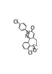 O=c1cc2c(nn1-c1ccc(Cl)cc1)-c1cccc(Cl)c1[S+]([O-])CC2